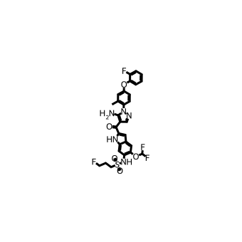 Cc1cc(Oc2ccccc2F)ccc1-n1ncc(C(=O)c2cc3cc(OC(F)F)c(NS(=O)(=O)CCCF)cc3[nH]2)c1N